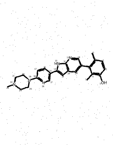 Cc1ccc(O)c(C)c1-c1cnc2[nH]c(-c3ccc(N4CCN(C)CC4)nc3)cc2c1